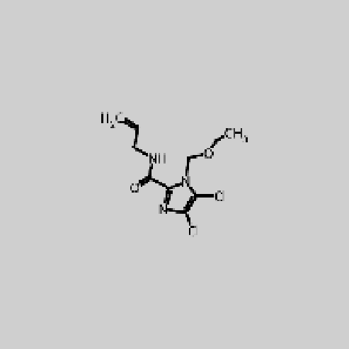 C=CCNC(=O)c1nc(Cl)c(Cl)n1COCC